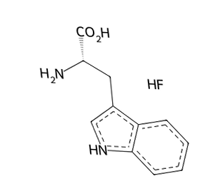 F.N[C@@H](Cc1c[nH]c2ccccc12)C(=O)O